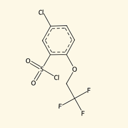 O=S(=O)(Cl)c1cc(Cl)ccc1OCC(F)(F)F